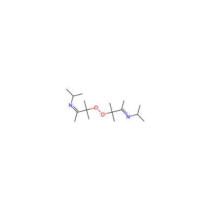 CC(=NC(C)C)C(C)(C)OOC(C)(C)C(C)=NC(C)C